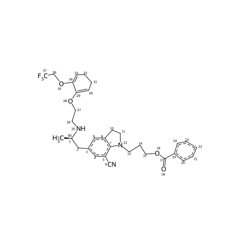 C[C@H](Cc1cc(C#N)c2c(c1)CCN2CCCOC(=O)c1ccccc1)NCCOC1=CCCC=C1OCC(F)(F)F